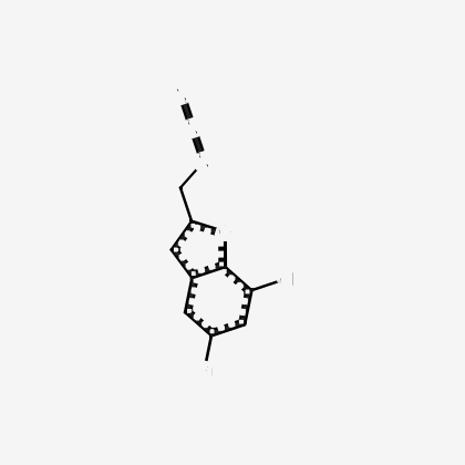 [N-]=[N+]=NCc1cc2cc(Br)cc(Cl)c2o1